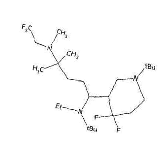 CCN(C(CCC(C)(C)N(C)CC(F)(F)F)C1CN(C(C)(C)C)CCC1(F)F)C(C)(C)C